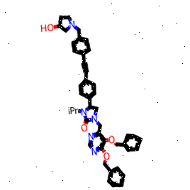 CC(C)N1C(=O)N(Cc2ncnc(OCc3ccccc3)c2OCc2ccccc2)CC1c1ccc(C#Cc2ccc(CN3CCC(O)C3)cc2)cc1